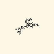 Bc1ccc2c(c1)c1c(n2CCCSc2cc(C)cc(F)c2)CCCC1=O